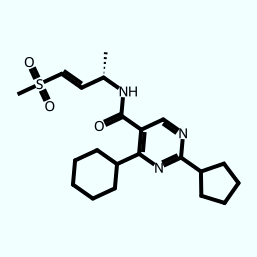 C[C@@H](/C=C/S(C)(=O)=O)NC(=O)c1cnc(C2CCCC2)nc1C1CCCCC1